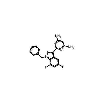 Nc1[c]c(N)nc(-c2nn(Cc3cccnc3)c3c(F)cc(F)cc23)n1